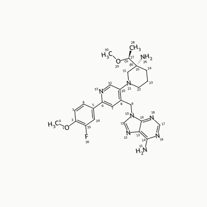 COc1ccc(-c2cc(Cn3cnc4c(N)ncnc43)c(N3CCC[C@](N)([C@H](C)OC)C3)cn2)cc1F